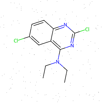 CCN(CC)c1nc(Cl)nc2ccc(Cl)cc12